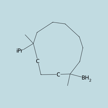 BC1(C)CCCCCCC(C)(C(C)C)CCC1